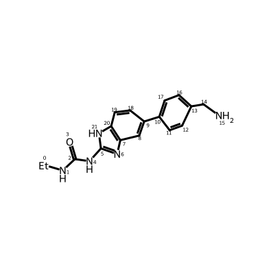 CCNC(=O)Nc1nc2cc(-c3ccc(CN)cc3)ccc2[nH]1